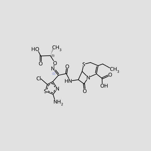 CCC1=C(C(=O)O)N2C(=O)C(NC(=O)/C(=N\O[C@@H](C)C(=O)O)c3nc(N)sc3Cl)C2SC1